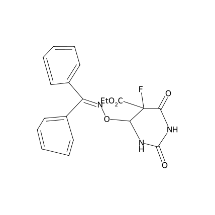 CCOC(=O)C1(F)C(=O)NC(=O)NC1ON=C(c1ccccc1)c1ccccc1